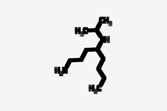 CCCCC(BC(C)C)CCCN